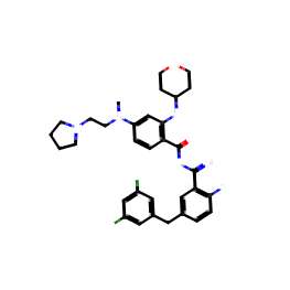 CN(CCN1CCCC1)c1ccc(C(=O)NC(=N)c2cc(Cc3cc(F)cc(F)c3)ccc2N)c(NC2CCOCC2)c1